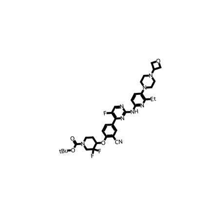 CCc1nc(Nc2ncc(F)c(-c3ccc(OC4CCN(C(=O)OC(C)(C)C)CC4(F)F)c(C#N)c3)n2)ccc1N1CCN(C2COC2)CC1